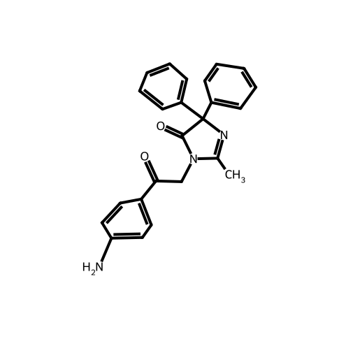 CC1=NC(c2ccccc2)(c2ccccc2)C(=O)N1CC(=O)c1ccc(N)cc1